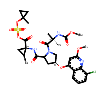 CCOc1cc(O[C@@H]2CC(C(=O)N[C@]3(C(=O)OS(=O)(=O)OC4(C)CC4)CC3CC)N(C(=O)[C@@](C)(NC(=O)OC(C)(C)C)C(C)C)C2)c2cccc(Cl)c2n1